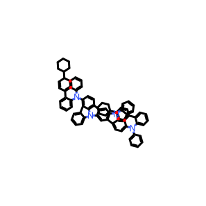 C1=CC(C2CCCCC2)CC=C1c1ccccc1N(c1ccccc1)c1ccc2c3cc4c(cc3n3c5ccccc5c1c23)c1ccc(N(c2ccccc2)c2ccccc2-c2ccc(C3CCCCC3)cc2)c2c3ccccc3n4c12